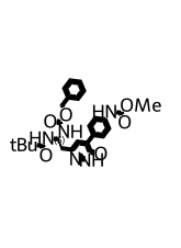 COC(=O)Nc1ccc(-c2cc(C[C@H](NC(=O)OCc3ccccc3)NC(=O)C(C)(C)C)n[nH]c2=O)cc1